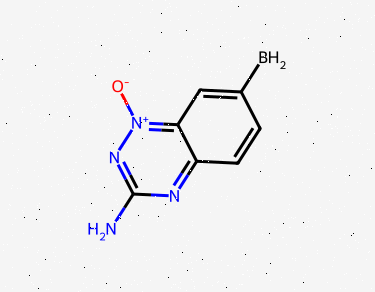 Bc1ccc2nc(N)n[n+]([O-])c2c1